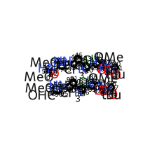 COC(=O)C1(NCc2cc(C(F)(F)F)c(N[C@H]3CCc4c(-c5nccc(-c6ccc(CN(C[C@@H]7CCC(=O)N7)C(=O)OC(C)(C)C)c(OC)n6)c5Cl)cccc43)nc2OC)CC1.COc1nc(N[C@H]2CCc3c(-c4nccc(-c5ccc(CN(C[C@@H]6CCC(=O)N6)C(=O)OC(C)(C)C)c(OC)n5)c4Cl)cccc32)c(C(F)(F)F)cc1C=O